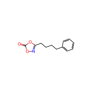 O=c1onc(CCCCc2ccccc2)o1